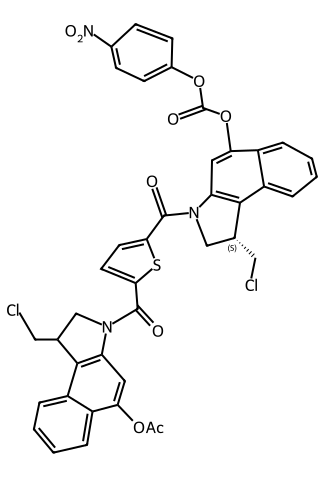 CC(=O)Oc1cc2c(c3ccccc13)C(CCl)CN2C(=O)c1ccc(C(=O)N2C[C@@H](CCl)c3c2cc(OC(=O)Oc2ccc([N+](=O)[O-])cc2)c2ccccc32)s1